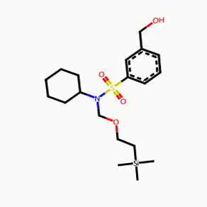 C[Si](C)(C)CCOCN(C1CCCCC1)S(=O)(=O)c1cccc(CO)c1